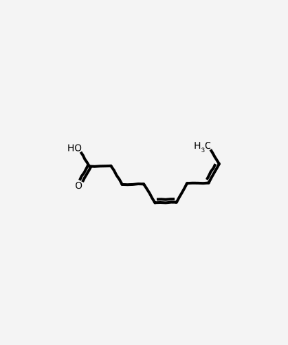 C/C=C\C/C=C\CCCC(=O)O